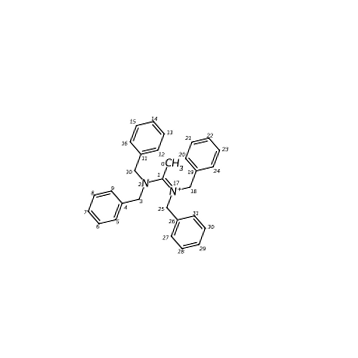 CC(N(Cc1ccccc1)Cc1ccccc1)=[N+](Cc1ccccc1)Cc1ccccc1